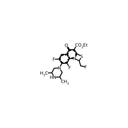 CCOC(=O)c1c2n(c3c(F)c(N4CC(C)NC(C)C4)c(F)cc3c1=O)C(CF)S2